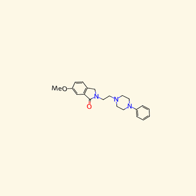 COc1ccc2c(c1)C(=O)N(CCN1CCN(c3ccccc3)CC1)C2